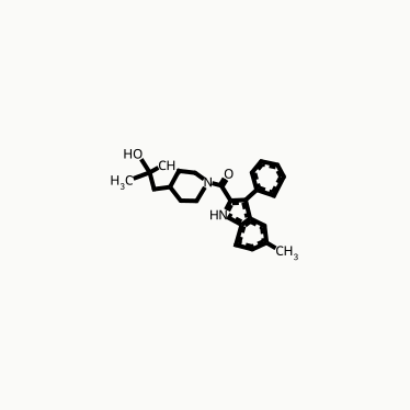 Cc1ccc2[nH]c(C(=O)N3CCC(CC(C)(C)O)CC3)c(-c3ccccc3)c2c1